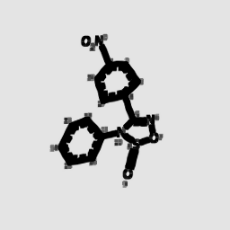 O=[N+]([O-])c1ccc(C2=NOS(=O)N2c2ccccc2)cc1